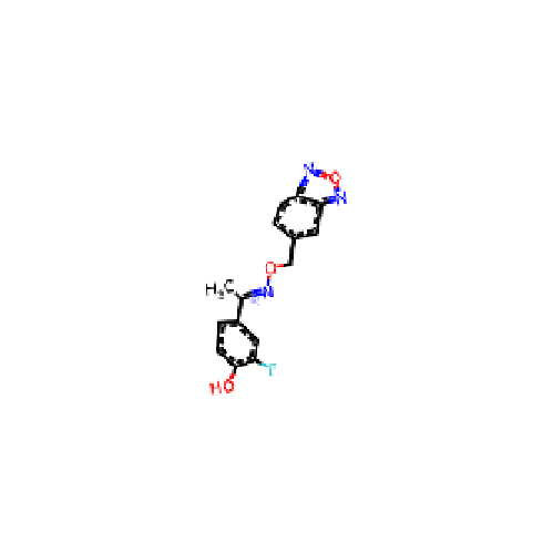 C/C(=N\OCc1ccc2nonc2c1)c1ccc(O)c(F)c1